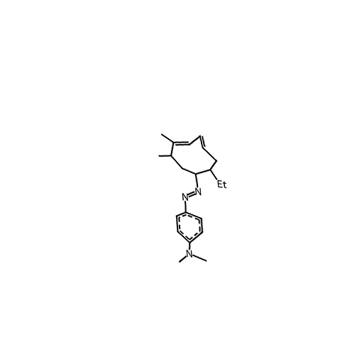 CCC1C/C=C/C=C(\C)C(C)CC1N=Nc1ccc(N(C)C)cc1